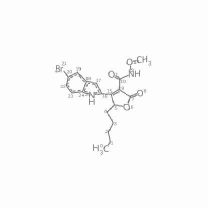 CCCCCC1OC(=O)C(C(=O)NOC)=C1c1cc2cc(Br)ccc2[nH]1